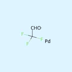 O=[C]C(F)(F)F.[Pd]